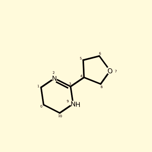 C1CN=C(C2CCOC2)NC1